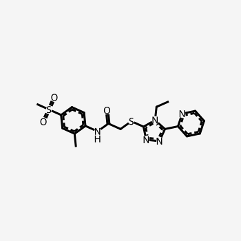 CCn1c(SCC(=O)Nc2ccc(S(C)(=O)=O)cc2C)nnc1-c1ccccn1